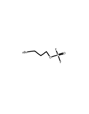 CCCCCCCOP(=O)(F)F